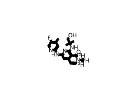 [2H]C([2H])([2H])n1ccc2cc(Nc3cc(C)c(F)cn3)nc(NC(C)(C)CO)c2c1=O